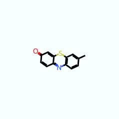 Cc1ccc2nc3ccc(=O)cc-3sc2c1